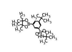 CC(C)(C)NS(=O)(=O)c1cc(B2OC(C)(C)C(C)(C)O2)cc(C(C)(C)C)c1